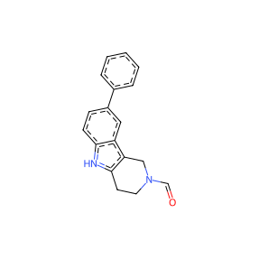 O=CN1CCc2[nH]c3ccc(-c4ccccc4)cc3c2C1